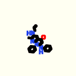 C=CCNc1cc2c(=O)cc(Nc3ccccc3)n(-c3ccccc3)c2nc1C